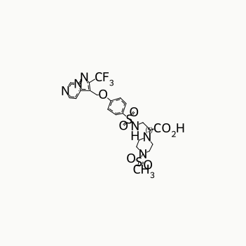 CS(=O)(=O)N1CCN([C@@H](CNS(=O)(=O)c2ccc(OCc3c(C(F)(F)F)nn4cnccc34)cc2)C(=O)O)CC1